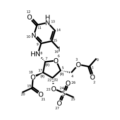 CC(=O)OC[C@H]1O[C@@H](Nc2nc(=O)[nH]cc2I)[C@H](OC(C)=O)[C@H]1OS(C)(=O)=O